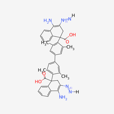 [H]/N=N/C1=C(N)c2ccccc2C(C(=O)O)(c2c(C)cc(-c3cc(C)c(C4(C(=O)O)CC(/N=N/[H])=C(N)c5ccccc54)c(C)c3)cc2C)C1